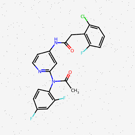 CC(=O)N(c1cc(NC(=O)Cc2c(F)cccc2Cl)ccn1)c1ccc(F)cc1F